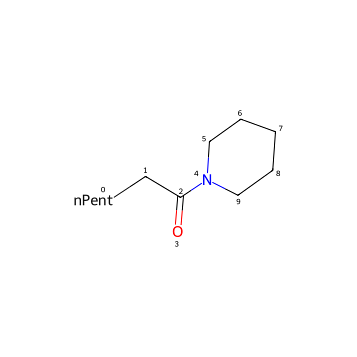 CCCCCCC(=O)N1CCCCC1